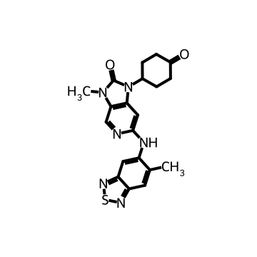 Cc1cc2nsnc2cc1Nc1cc2c(cn1)n(C)c(=O)n2C1CCC(=O)CC1